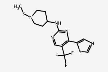 CSN1CCC(Nc2ncc(C(F)(F)F)c(-c3cncs3)n2)CC1